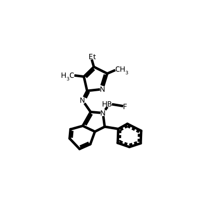 CCC1=C(C)/C(=N/C2=C3C=CC=CC3C(c3ccccc3)N2BF)N=C1C